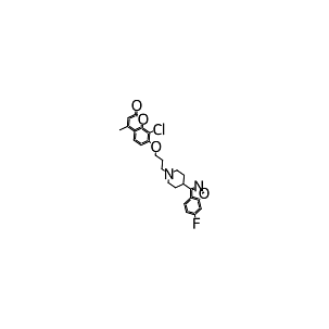 Cc1cc(=O)oc2c(Cl)c(OCCCN3CCC(c4noc5cc(F)ccc45)CC3)ccc12